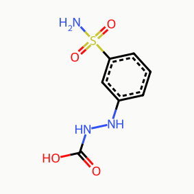 NS(=O)(=O)c1cccc(NNC(=O)O)c1